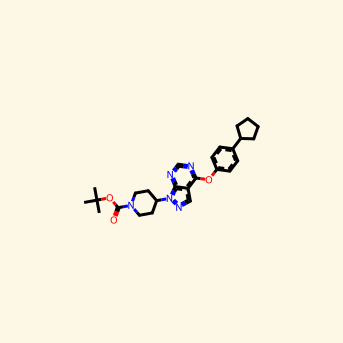 CC(C)(C)OC(=O)N1CCC(n2ncc3c(Oc4ccc(C5CCCC5)cc4)ncnc32)CC1